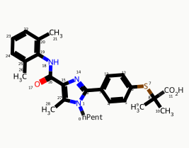 CCCCCn1c(-c2ccc(SC(C)(C)C(=O)O)cc2)nc(C(=O)Nc2c(C)cccc2C)c1C